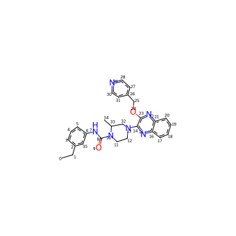 CCc1cccc(NC(=O)N2CCN(c3nc4ccccc4nc3OCc3ccncc3)CC2C)c1